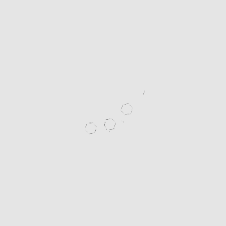 COc1nc(-c2ccc(C(F)(F)F)cc2)ccc1N(C)c1ccc(SC(C)(C)C(=O)O)cc1